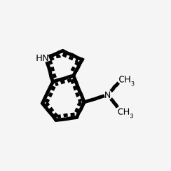 CN(C)c1cccc2[nH]ccc12